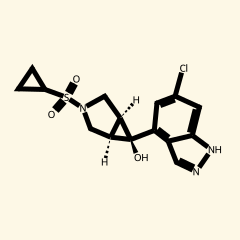 O=S(=O)(C1CC1)N1C[C@@H]2[C@H](C1)[C@@]2(O)c1cc(Cl)cc2[nH]ncc12